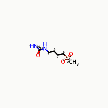 CS(=O)(=O)CCCCNC([NH])=O